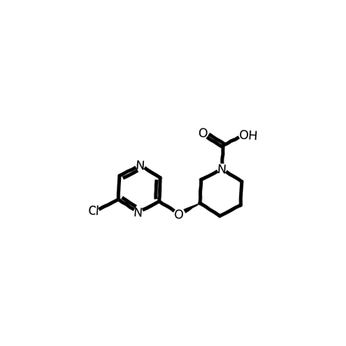 O=C(O)N1CCC[C@@H](Oc2cncc(Cl)n2)C1